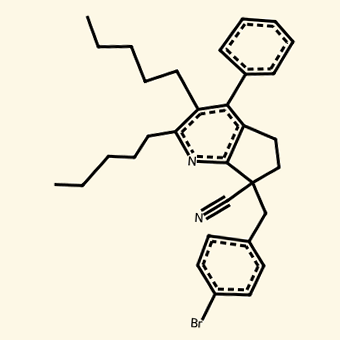 CCCCCc1nc2c(c(-c3ccccc3)c1CCCCC)CCC2(C#N)Cc1ccc(Br)cc1